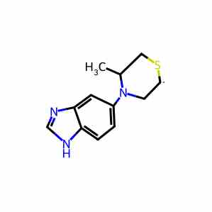 CC1CS[CH]CN1c1ccc2[nH]cnc2c1